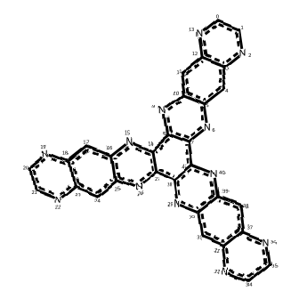 c1cnc2cc3nc4c(nc3cc2n1)c1nc2cc3nccnc3cc2nc1c1nc2cc3nccnc3cc2nc41